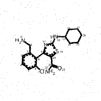 NCc1cccc(Cl)c1-c1nc(NC2CCCCC2)sc1C(N)=O